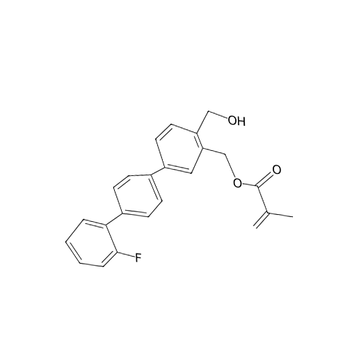 C=C(C)C(=O)OCc1cc(-c2ccc(-c3ccccc3F)cc2)ccc1CO